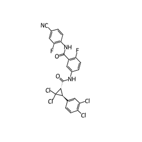 N#Cc1ccc(NC(=O)c2cc(NC(=O)[C@@H]3[C@@H](c4ccc(Cl)c(Cl)c4)C3(Cl)Cl)ccc2F)c(F)c1